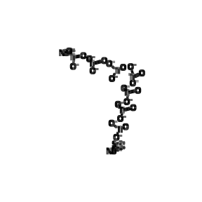 [Nb+5].[Nb+5].[O]=[Ti]([O-])[O-].[O]=[Ti]([O-])[O-].[O]=[Ti]([O-])[O-].[O]=[Ti]([O-])[O-].[O]=[Ti]([O-])[O-].[O]=[Ti]([O-])[O-].[O]=[Ti]([O-])[O-].[Sr+2].[Sr+2]